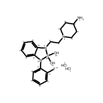 Cl.Cl.NC1CCN(CCN2c3ccccc3N(c3ccccc3F)S2(O)O)CC1